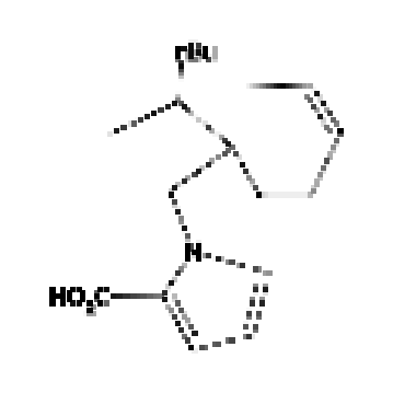 CCCCC(C)C1(Cn2cccc2C(=O)O)C=CC=CC1